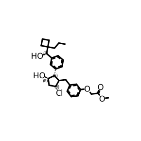 CCCC1([C@H](O)c2cccc([C@@H]3C(Cc4cccc(OCC(=O)OC)c4)[C@H](Cl)C[C@H]3O)c2)CCC1